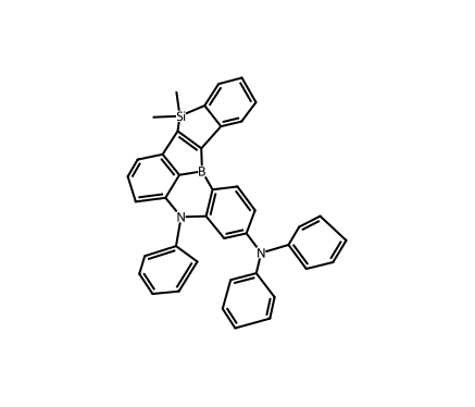 C[Si]1(C)C2=C(B3c4ccc(N(c5ccccc5)c5ccccc5)cc4N(c4ccccc4)c4cccc2c43)c2ccccc21